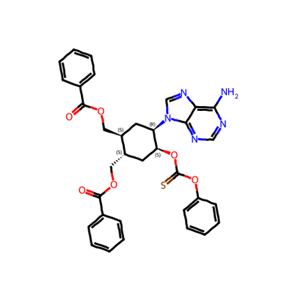 Nc1ncnc2c1ncn2[C@@H]1C[C@H](COC(=O)c2ccccc2)[C@@H](COC(=O)c2ccccc2)C[C@@H]1OC(=S)Oc1ccccc1